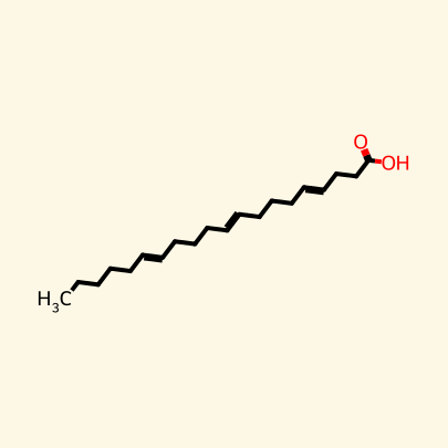 CCCCC/C=C/CCC/C=C/CCC/C=C/CCC(=O)O